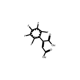 O=C(O)C=C(C(=O)O)c1c(F)c(F)c(F)c(F)c1F